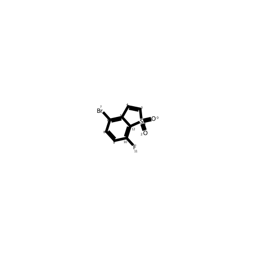 O=S1(=O)C=Cc2c(Br)ccc(F)c21